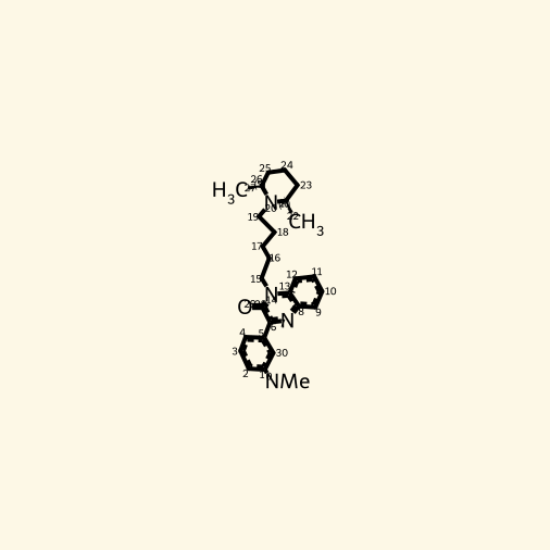 CNc1cccc(-c2nc3ccccc3n(CCCCCN3[C@H](C)CCC[C@@H]3C)c2=O)c1